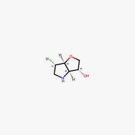 O[C@H]1CO[C@H]2[C@@H]1NC[C@@H]2Br